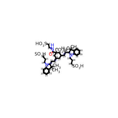 CCOC(=O)C1(C(=O)NCCS(=O)(=O)O)C/C(=C\C=C2\N(CCCS(=O)(=O)O)c3ccccc3C2(C)C)CC(/C=C/C2=[N+](CCCS(=O)(=O)O)c3ccccc3C2(C)C)C1